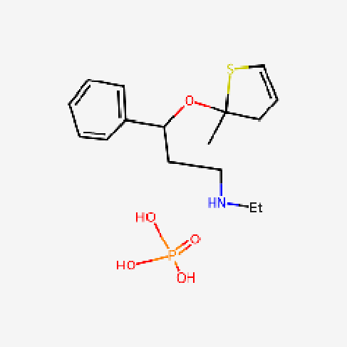 CCNCCC(OC1(C)CC=CS1)c1ccccc1.O=P(O)(O)O